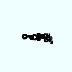 CC(C)(F)COc1nc2c(s1)CCN(CC=C1CCCCC1)CC2